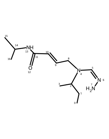 CCC(C)N(/C=N\N)C/C=C/C(=O)NC(C)C